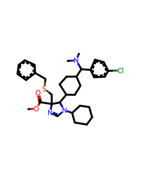 COC(=O)C1(CSCc2ccccc2)N=CN(C2CCCCC2)C1C1CCC(C(c2ccc(Cl)cc2)N(C)C)CC1